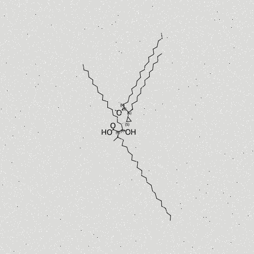 CCCCCCCCCCCCCCCCCCCCCCC(C)[C@@H](C(=O)O)[C@H](O)C(CCCCCCCCCCCCCCCC)[C@H]1CC1[C@H](CCCCCCCCCCCCCCC)[C@@H](OC)[C@H](C)CCCCCCCCCCCCCCCCCC